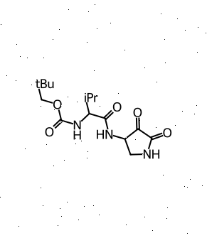 CC(C)C(NC(=O)OCC(C)(C)C)C(=O)NC1CNC(=O)C1=O